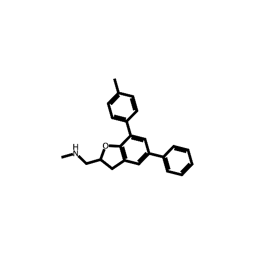 CNCC1Cc2cc(-c3ccccc3)cc(-c3ccc(C)cc3)c2O1